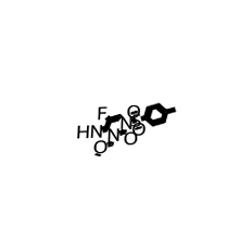 COCn1c(=N)c(F)cn(S(=O)(=O)c2ccc(C)cc2)c1=O